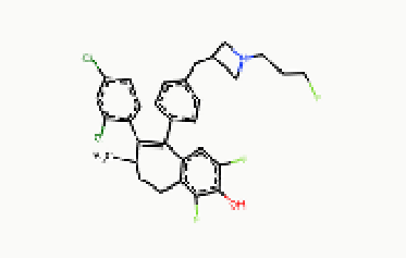 CC1CCc2c(cc(F)c(O)c2F)C(c2ccc(CC3CN(CCCF)C3)cc2)=C1c1ccc(Cl)cc1Cl